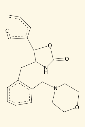 O=C1NC(Cc2ccccc2CN2CCOCC2)C(c2ccccc2)O1